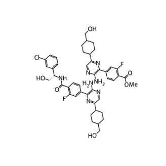 COC(=O)c1ccc(-c2nc(C3CCC(CO)CC3)cnc2N)cc1F.Nc1ncc(C2CCC(CO)CC2)nc1-c1ccc(C(=O)N[C@H](CO)c2cccc(Cl)c2)c(F)c1